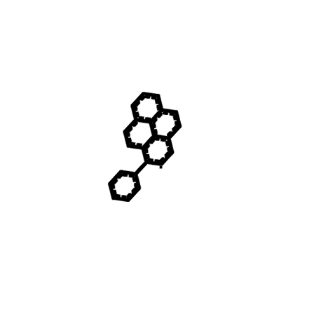 [c]1cc2ccc3cccc4ccc(c1-c1ccccc1)c2c34